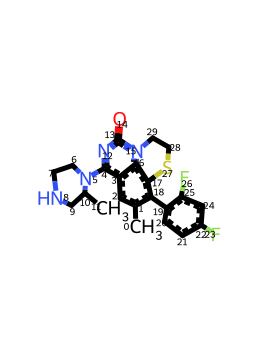 Cc1cc2c(N3CCNCC3C)nc(=O)n3c2c(c1-c1ccc(F)cc1F)SCC3